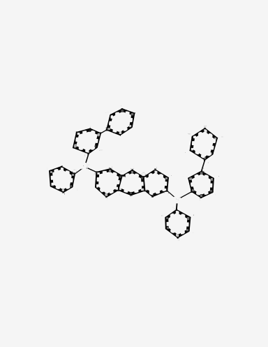 c1ccc(-c2cccc(N(c3ccccc3)c3ccc4cc5cc(N(c6ccccc6)c6cccc(-c7ccccc7)c6)ccc5cc4c3)c2)cc1